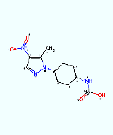 Cc1c([N+](=O)[O-])cnn1[C@H]1CC[C@@H](NC(=O)O)CC1